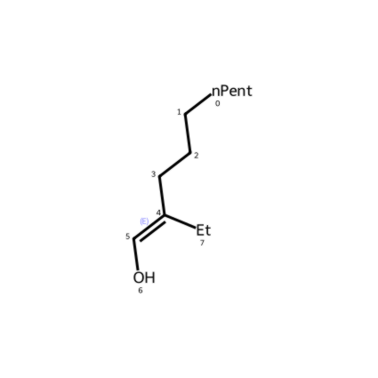 CCCCCCCC/C(=C/O)CC